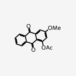 COc1cc(OC(C)=O)c2c(c1)C(=O)c1ccccc1C2=O